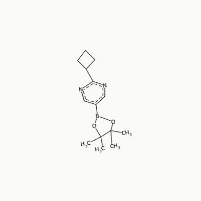 CC1(C)OB(c2cnc(C3CCC3)nc2)OC1(C)C